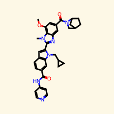 COc1cc(C(=O)N2CC3CCC2C3)cc2nc(-c3cc4ccc(C(=O)Nc5ccncc5)cc4n3CC3CC3)n(C)c12